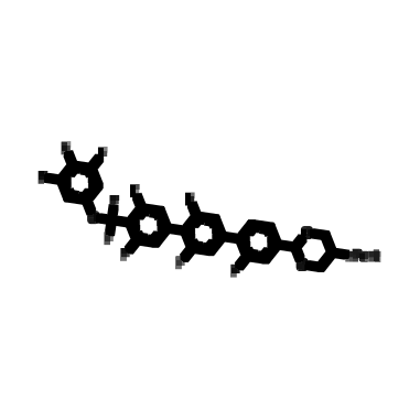 CCCCCC1COC(c2ccc(-c3cc(F)c(-c4cc(F)c(C(F)(F)Oc5cc(F)c(F)c(F)c5)c(F)c4)c(F)c3)c(F)c2)OC1